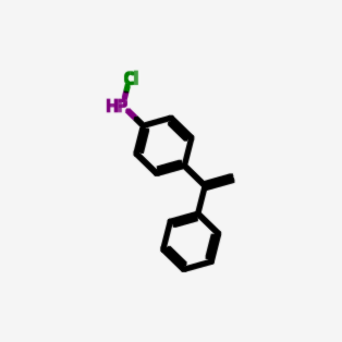 C=C(c1ccccc1)c1ccc(PCl)cc1